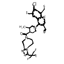 CC1CN(c2c(C#N)cnc3c(F)c(Cl)c(F)cc23)CCC1C(=O)N1CCn2c(nnc2C(F)(F)F)C1